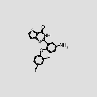 Nc1ccc(Oc2ccc(F)cc2F)c(-c2nc3ccsc3c(=O)[nH]2)c1